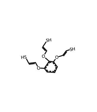 SC=COc1cccc(OC=CS)c1OC=CS